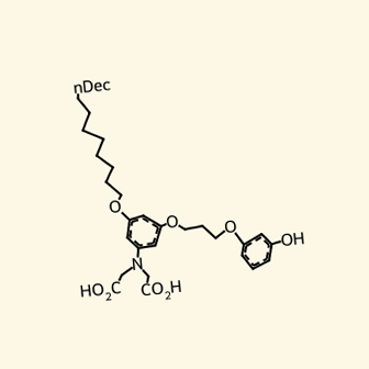 CCCCCCCCCCCCCCCCCCOc1cc(OCCCOc2cccc(O)c2)cc(N(CC(=O)O)CC(=O)O)c1